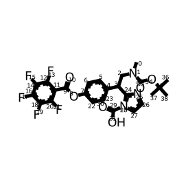 CN(CC(c1ccc(OC(=O)c2c(F)c(F)c(F)c(F)c2F)cc1)c1nccn1C(=O)O)C(=O)OC(C)(C)C